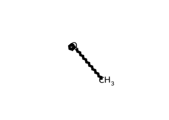 CCCCCCCCCCCCCCCCCCN1C=CC=CO1